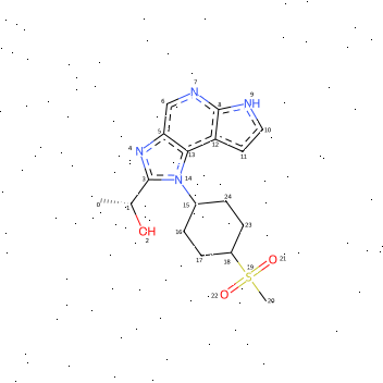 C[C@@H](O)c1nc2cnc3[nH]ccc3c2n1C1CCC(S(C)(=O)=O)CC1